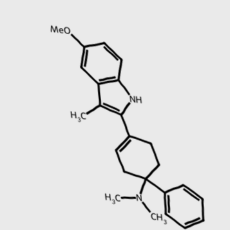 COc1ccc2[nH]c(C3=CCC(c4ccccc4)(N(C)C)CC3)c(C)c2c1